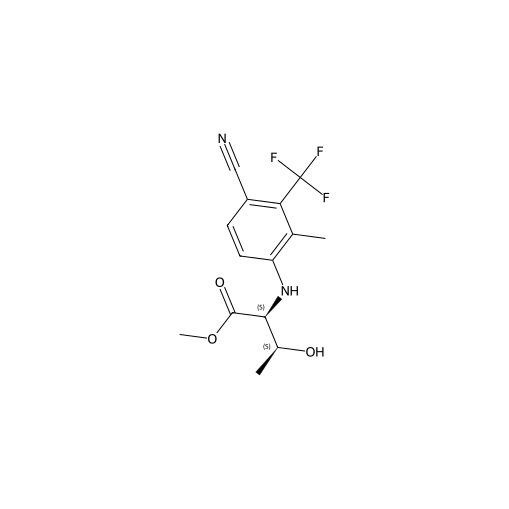 COC(=O)[C@@H](Nc1ccc(C#N)c(C(F)(F)F)c1C)[C@H](C)O